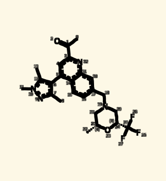 CC(=O)c1cc(-c2c(C)nn(C)c2C)c2ccc(CN3C[C@@H](C)O[C@@H](C(F)(F)F)C3)cc2n1